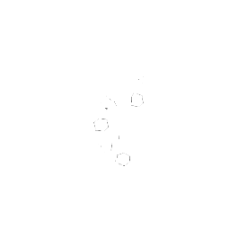 CCOC1NC(c2ccc(CS(=O)(=O)NC(=O)Cc3ccccc3OC(F)(F)F)cc2C)C2=C1c1ncccc1C(OCC)C2=O